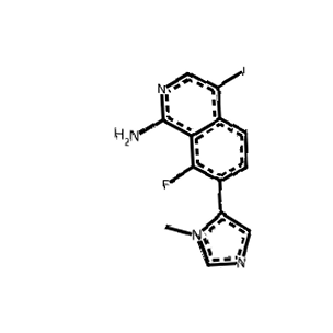 Cn1cncc1-c1ccc2c(I)cnc(N)c2c1F